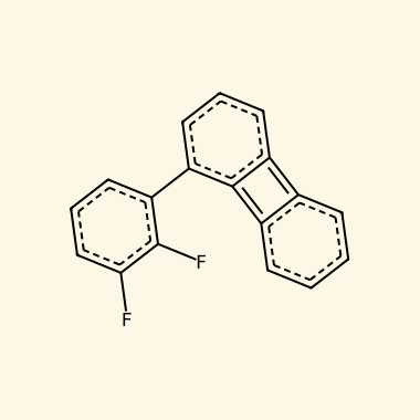 Fc1cccc(-c2cccc3c2=c2ccccc2=3)c1F